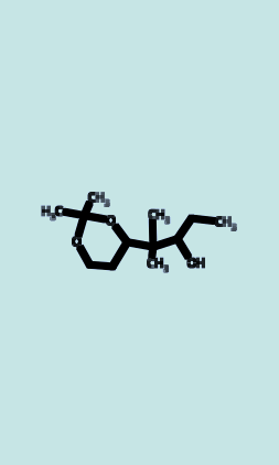 CCC(O)C(C)(C)C1CCOC(C)(C)O1